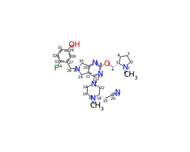 CN1CCC[C@H]1COc1nc2c(c(N3CCN(C)[C@@H](CC#N)C3)n1)CN(Cc1cc(O)ccc1F)C2